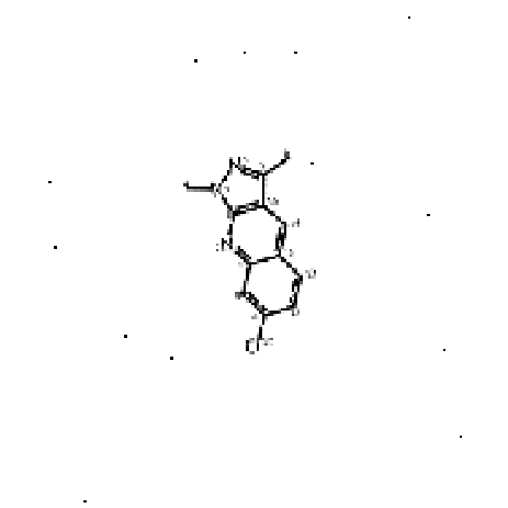 Cc1nn(C)c2nc3cc(Cl)ccc3cc12